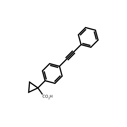 O=C(O)C1(c2ccc(C#Cc3ccccc3)cc2)CC1